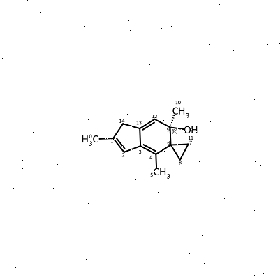 CC1=CC2=C(C)C3(CC3)[C@](C)(O)C=C2C1